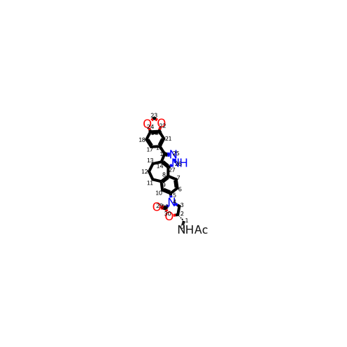 CC(=O)NC[C@H]1CN(c2ccc3c(c2)CCCc2c(-c4ccc5c(c4)OCO5)n[nH]c2-3)C(=O)O1